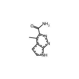 Cc1c(C(N)=O)nnc2[nH]ccc12